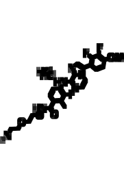 COc1ccc(-c2cnc3c(Nc4ccc(C(=O)NOCCOCCN)c(C)c4F)nccn23)c(F)c1F.Cl.Cl